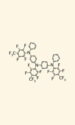 Fc1c(F)c(C(F)(F)F)c(F)c(F)c1N(c1ccccc1)c1ccc(N(c2ccc(N(c3ccccc3)c3c(F)c(F)c(C(F)(F)F)c(F)c3F)cc2)c2c(F)c(F)c(C(F)(F)F)c(F)c2F)cc1